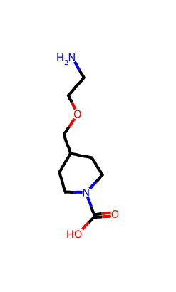 NCCOCC1CCN(C(=O)O)CC1